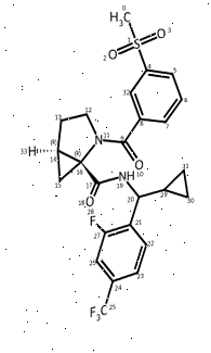 CS(=O)(=O)c1cccc(C(=O)N2CC[C@@H]3C[C@]32C(=O)NC(c2ccc(C(F)(F)F)cc2F)C2CC2)c1